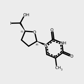 Cc1cn([C@H]2CC[C@@H](C(O)I)O2)c(=O)[nH]c1=O